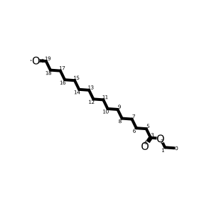 CCOC(=O)CCCCCCCCCCCCCCC[O]